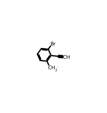 C#Cc1c([CH2])cccc1Br